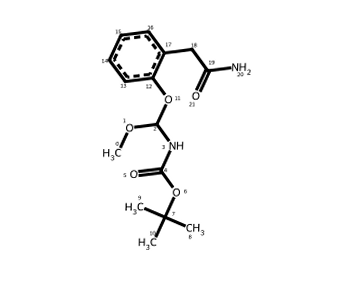 COC(NC(=O)OC(C)(C)C)Oc1ccccc1CC(N)=O